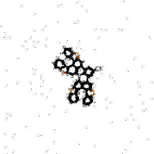 N#Cc1cc2c3c(c1)-c1cc4sc5ccccc5c4c4c1c(cc1sc5ccccc5c14)B3c1cc3sc4ccccc4c3c3c1c-2cc1sc2ccccc2c13